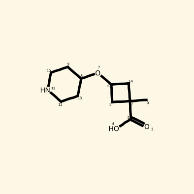 CC1(C(=O)O)CC(OC2CCNCC2)C1